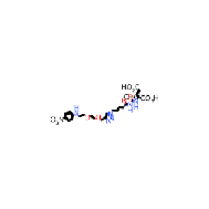 O=CO[C@H](CCCCn1cc(COCCOCCNc2ccc([N+](=O)[O-])cc2)nn1)NC(=O)N[C@@H](CCC(=O)O)C(=O)O